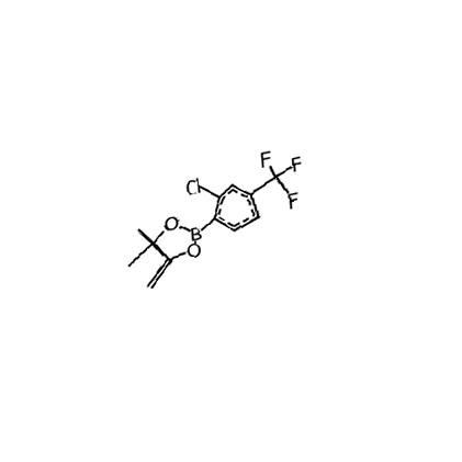 C=C1OB(c2ccc(C(F)(F)F)cc2Cl)OC1(C)C